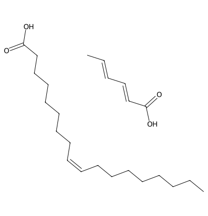 CC=CC=CC(=O)O.CCCCCCCC/C=C\CCCCCCCC(=O)O